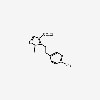 CCOC(=O)c1cnn(C)c1CCc1ccc(C(F)(F)F)cc1